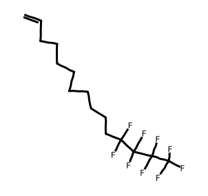 C=CCCCCCCCCCC(F)(F)C(F)(F)C(F)(F)C(F)(F)F